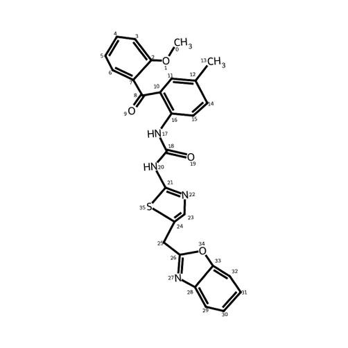 COc1ccccc1C(=O)c1cc(C)ccc1NC(=O)Nc1ncc(Cc2nc3ccccc3o2)s1